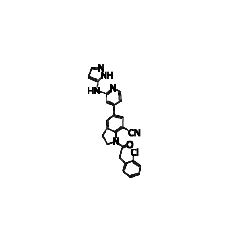 N#Cc1cc(-c2ccnc(Nc3ccn[nH]3)c2)cc2c1N(C(=O)Cc1ccccc1Cl)CC2